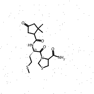 CSCC[C@H](NC(=O)C1CC(=O)CC1(C)C)C(=O)N1CSCC1C(N)=O